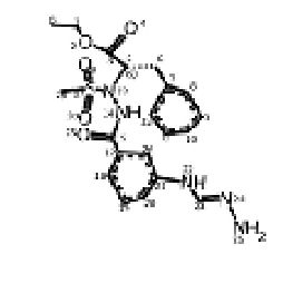 CCOC(=O)[C@H](Cc1ccccc1)N(NC(=O)c1cccc(NC=NN)c1)S(C)(=O)=O